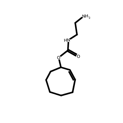 NCCNC(=O)OC1/C=C\CCCCC1